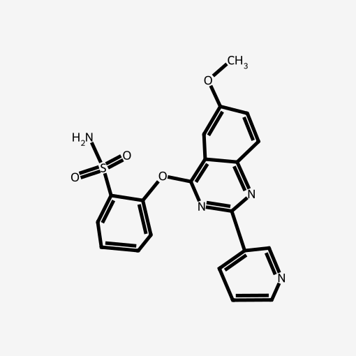 COc1ccc2nc(-c3cccnc3)nc(Oc3ccccc3S(N)(=O)=O)c2c1